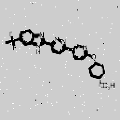 CC(F)(F)c1ccc2nc(-c3ccc(-c4ccc(O[C@H]5CC[C@@H](C(=O)O)CC5)nc4)nn3)[nH]c2c1